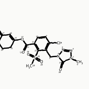 Cn1nnn(Cc2c(Cl)ccc(C(=O)OC3=CC(=O)CCC3)c2S(C)(=O)=O)c1=O